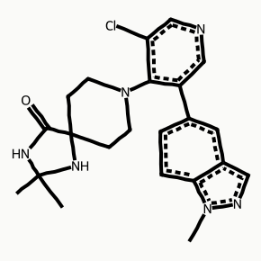 Cn1ncc2cc(-c3cncc(Cl)c3N3CCC4(CC3)NC(C)(C)NC4=O)ccc21